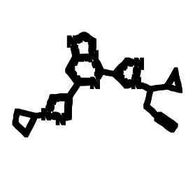 C#CCC(C1CC1)n1cc(-c2nc(-c3cnn(C4CCC4)c3)cc3nccn23)cn1